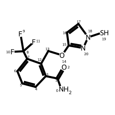 NC(=O)c1cccc(C(F)(F)F)c1COc1ccn(S)n1